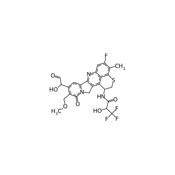 COCc1c(C(O)C=O)cc2n(c1=O)Cc1c-2nc2cc(F)c(C)c3c2c1C(NC(=O)C(O)C(F)(F)F)CS3